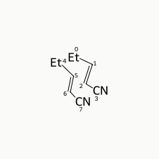 CCC=CC#N.CCC=CC#N